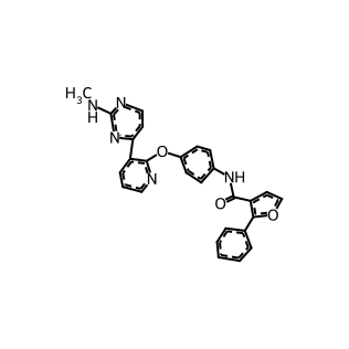 CNc1nccc(-c2cccnc2Oc2ccc(NC(=O)c3ccoc3-c3ccccc3)cc2)n1